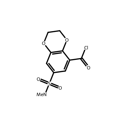 CNS(=O)(=O)c1cc2c(c(C(=O)Cl)c1)OCCO2